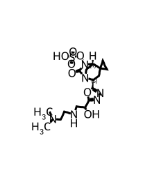 CN(C)CCNCC(O)c1nnc([C@@H]2CC3(CC3)[C@@H]3CN2C(=O)N3OS(=O)(=O)O)o1